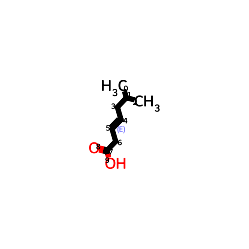 CC(C)C/C=C/CC(=O)O